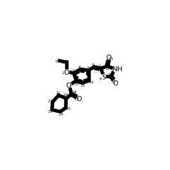 CCOc1cc(/C=C2\SC(=O)NC2=O)ccc1OC(=O)C1CCCCC1